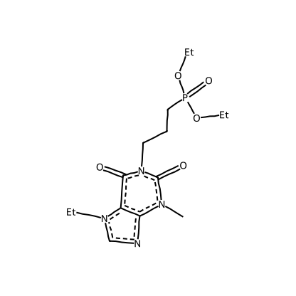 CCOP(=O)(CCCn1c(=O)c2c(ncn2CC)n(C)c1=O)OCC